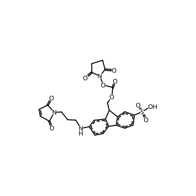 O=C(OCC1c2cc(NCCCN3C(=O)C=CC3=O)ccc2-c2ccc(S(=O)(=O)O)cc21)ON1C(=O)CCC1=O